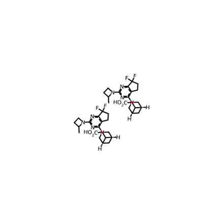 CC1CCN1c1nc(N2C[C@H]3C[C@@H](C2)C3CC(=O)O)c2c(n1)C(F)(F)CC2.CC1CCN1c1nc(N2C[C@H]3C[C@@H](C2)C3CC(=O)O)c2c(n1)C(F)(F)CC2